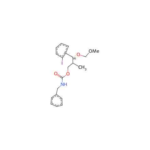 COCO[C@@H](c1ccccc1I)C(C)COC(=O)NCc1ccccc1